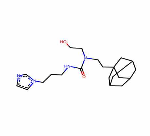 O=C(NCCCn1ccnc1)N(CCO)CCC12CC3CC(CC(C3)C1)C2